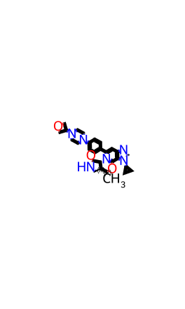 C[C@@H](Oc1nc(-c2ccc(N3CCN(C4COC4)CC3)cc2)cc2ncn(C3CC3)c12)[C@H]1CNC(=O)C1